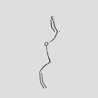 C=CCO[C]=S